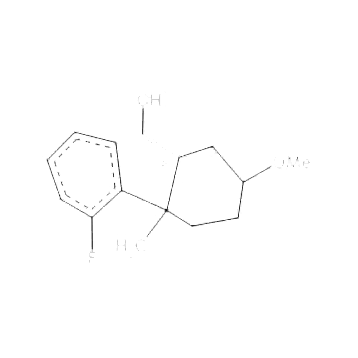 COC1CCC(C)(c2ccccc2F)[C@H](CO)C1